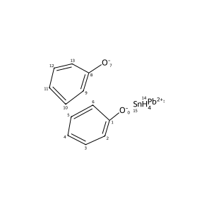 [O-]c1ccccc1.[O-]c1ccccc1.[Pb+2].[SnH4]